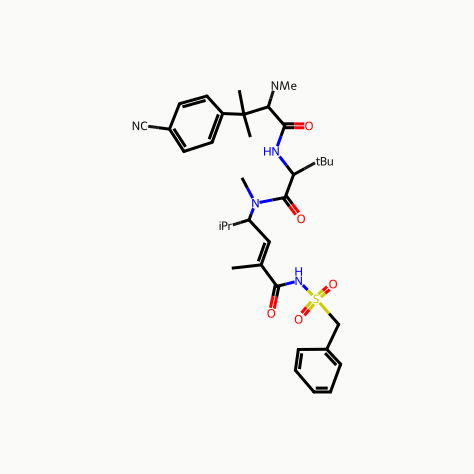 CNC(C(=O)NC(C(=O)N(C)C(C=C(C)C(=O)NS(=O)(=O)Cc1ccccc1)C(C)C)C(C)(C)C)C(C)(C)c1ccc(C#N)cc1